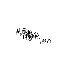 CC1(C)O[C@@H]2[C@H](O)CN(C(=O)CCCCC(=O)OCc3ccccc3)C[C@@H]2O1